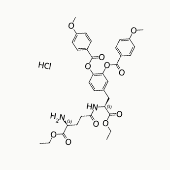 CCOC(=O)[C@H](Cc1ccc(OC(=O)c2ccc(OC)cc2)c(OC(=O)c2ccc(OC)cc2)c1)NC(=O)CC[C@H](N)C(=O)OCC.Cl